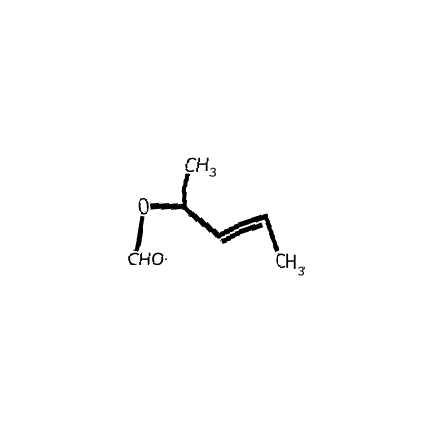 CC=CC(C)O[C]=O